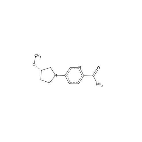 CO[C@H]1CCN(c2ccc(C(N)=O)nc2)C1